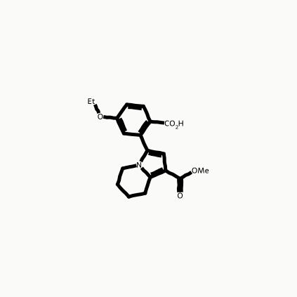 CCOc1ccc(C(=O)O)c(-c2cc(C(=O)OC)c3n2CCCC3)c1